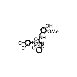 COc1cc(CNC(=O)C2=NOC3(CCCCC3)N2C(=O)Nc2ccc(Cl)c(Cl)c2)ccc1O